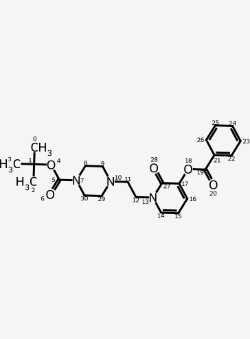 CC(C)(C)OC(=O)N1CCN(CCn2cccc(OC(=O)c3ccccc3)c2=O)CC1